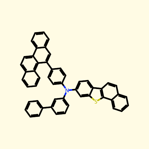 c1ccc(-c2cccc(N(c3ccc(-c4cc5ccccc5c5ccc6ccccc6c45)cc3)c3ccc4c(c3)sc3c5ccccc5ccc43)c2)cc1